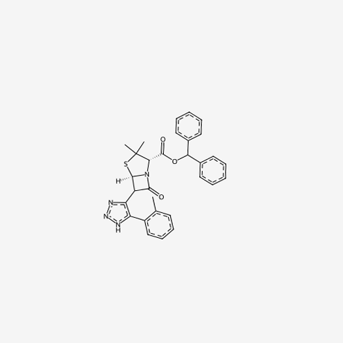 Cc1ccccc1-c1[nH]nnc1C1C(=O)N2[C@@H]1SC(C)(C)[C@@H]2C(=O)OC(c1ccccc1)c1ccccc1